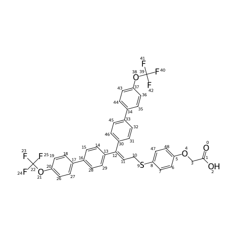 O=C(O)COc1ccc(SCC=C(c2ccc(-c3ccc(OC(F)(F)F)cc3)cc2)c2ccc(-c3ccc(OC(F)(F)F)cc3)cc2)cc1